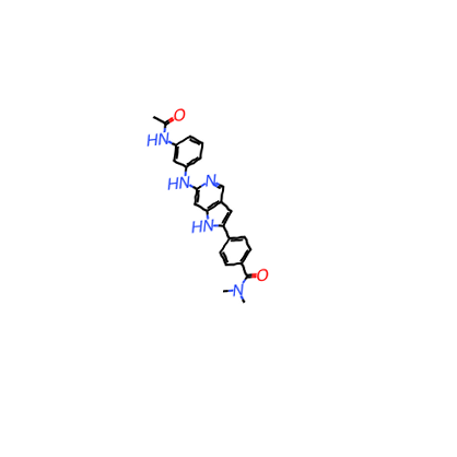 CC(=O)Nc1cccc(Nc2cc3[nH]c(-c4ccc(C(=O)N(C)C)cc4)cc3cn2)c1